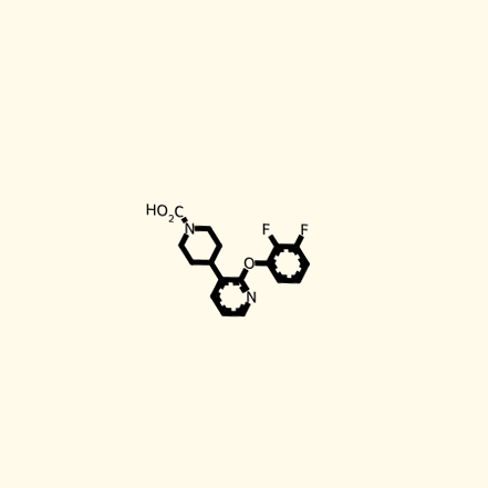 O=C(O)N1CCC(c2cccnc2Oc2cccc(F)c2F)CC1